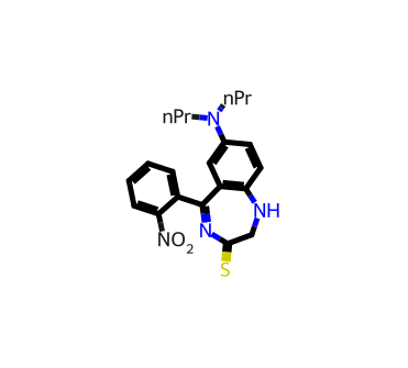 CCCN(CCC)c1ccc2c(c1)C(c1ccccc1[N+](=O)[O-])=NC(=S)CN2